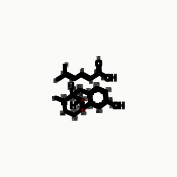 CC(C)=C/C=C/C(=O)O.CN1CC[C@]23CCCC[C@H]2[C@H]1Cc1ccc(O)cc13